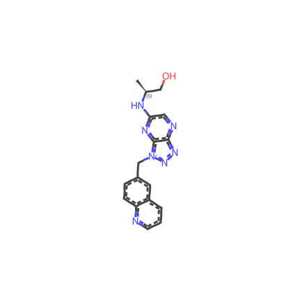 C[C@@H](CO)Nc1cnc2nnn(Cc3ccc4ncccc4c3)c2n1